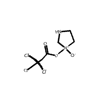 O=C(O[N+]1([O-])CCNC1)C(Cl)(Cl)Cl